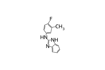 Cc1cc(Nc2nc3ccccc3[nH]2)ccc1F